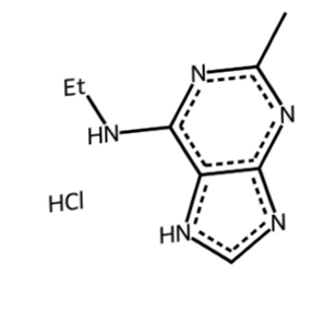 CCNc1nc(C)nc2nc[nH]c12.Cl